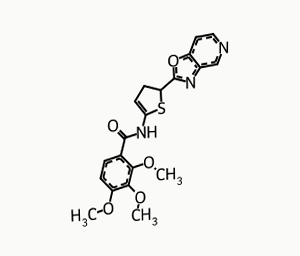 COc1ccc(C(=O)NC2=CCC(c3nc4cnccc4o3)S2)c(OC)c1OC